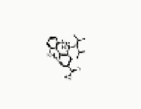 CC(C)N(C(=O)c1cc(C(=O)O)ccc1-c1c(N)cccc1N)C(C)C